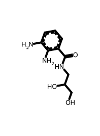 Nc1cccc(C(=O)NCC(O)CO)c1N